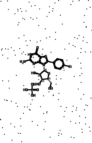 CCc1ccc(-c2nc3c(=O)[nH]c(N)nc3n2[C@@H]2O[C@H](CO)[C@@H](O)[C@H]2O)cc1.O=P(O)(O)O